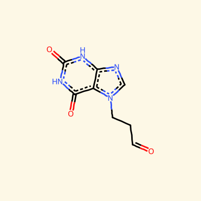 O=CCCn1cnc2[nH]c(=O)[nH]c(=O)c21